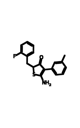 Cc1cccc(C2=C(N)SC(Cc3ccccc3F)C2=O)c1